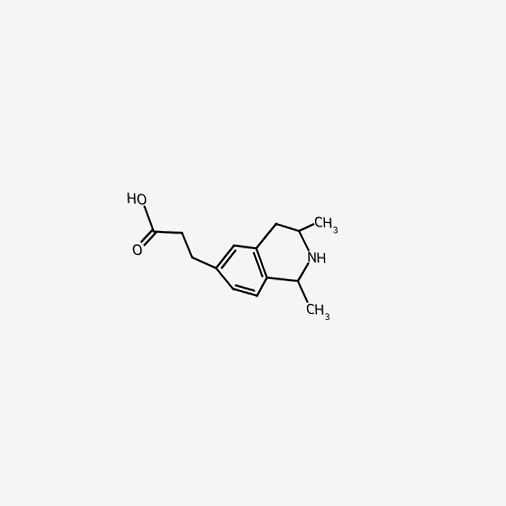 CC1Cc2cc(CCC(=O)O)ccc2C(C)N1